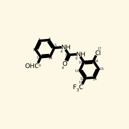 O=Cc1cccc(NC(=O)Nc2cc(C(F)(F)F)ccc2Cl)c1